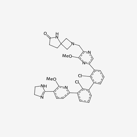 COc1nc(-c2cccc(-c3cccc(-c4cnc(CN5CC6(CCC(=O)N6)C5)c(OC)n4)c3Cl)c2Cl)ccc1C1=NCCN1